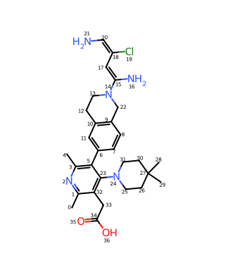 Cc1nc(C)c(-c2ccc3c(c2)CCN(/C(N)=C/C(Cl)=C\N)C3)c(N2CCC(C)(C)CC2)c1CC(=O)O